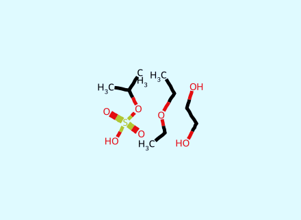 CC(C)OS(=O)(=O)O.CCOCC.OCCO